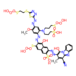 COc1cc(N=Nc2c(SOOO)cc3cc(S(=O)(=O)O)c(N=Nc4c(C)c(C#N)c5nc6ccccc6n5c4O)cc3c2O)c(N(CCCSOOO)CCCS(=O)(=O)O)cc1N=Nc1nnc(SCCSOOO)s1